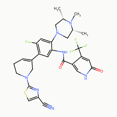 C[C@@H]1CN(c2cc(F)c(C3=CCCN(c4nc(C#N)cs4)C3)cc2NC(=O)c2c[nH]c(=O)cc2C(F)(F)F)C[C@H](C)N1C